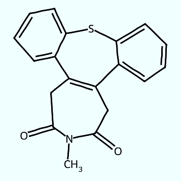 CN1C(=O)CC2=C(CC1=O)c1ccccc1Sc1ccccc12